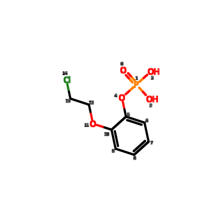 O=P(O)(O)Oc1ccccc1OCCCl